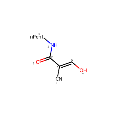 CCCCCNC(=O)C(C#N)=CO